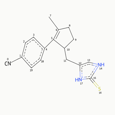 [C-]#[N+]c1ccc(C2=C(C)CCC2Cc2c[nH]c(=S)[nH]2)cc1